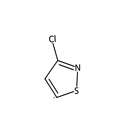 Clc1c[c]sn1